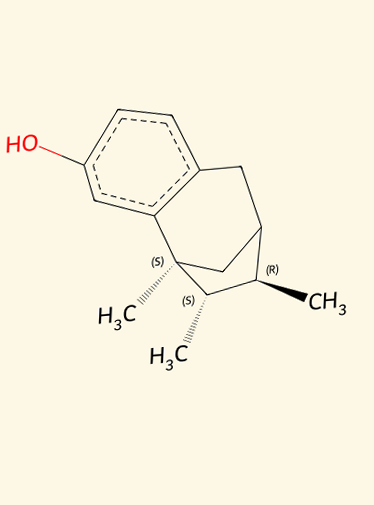 C[C@@H]1C2Cc3ccc(O)cc3[C@@](C)(C2)[C@H]1C